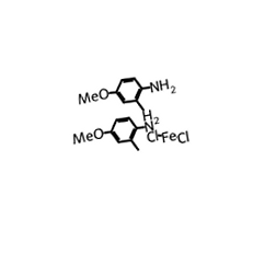 COc1ccc(N)c(C)c1.COc1ccc(N)c(C)c1.[Cl][Fe][Cl]